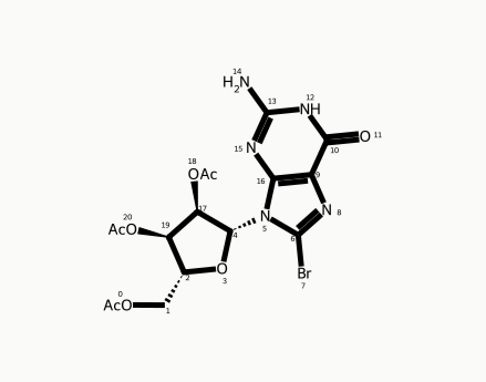 CC(=O)OC[C@H]1O[C@@H](n2c(Br)nc3c(=O)[nH]c(N)nc32)[C@H](OC(C)=O)[C@@H]1OC(C)=O